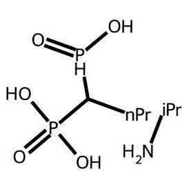 CC(C)N.CCCC([PH](=O)O)P(=O)(O)O